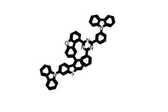 c1ccc(-c2nc(-c3cccc(-n4c5ccccc5c5ccccc54)c3)nc(-c3cccc4oc5ccc(-c6cccc7sc8cc(-n9c%10ccccc%10c%10ccccc%109)ccc8c67)cc5c34)n2)cc1